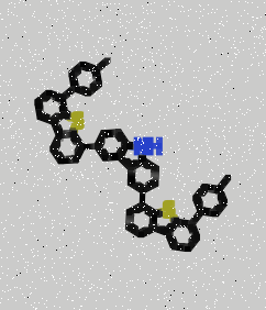 Cc1ccc(-c2cccc3c2sc2c(-c4ccc5[nH]c6ccc(-c7cccc8c7sc7c(-c9ccc(C)cc9)cccc78)cc6c5c4)cccc23)cc1